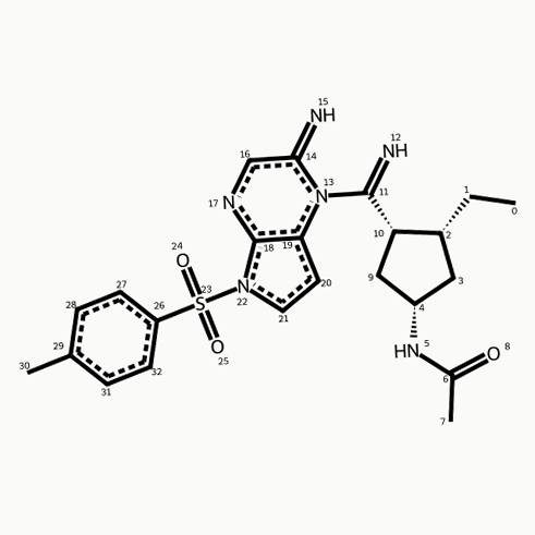 CC[C@@H]1C[C@H](NC(C)=O)C[C@@H]1C(=N)n1c(=N)cnc2c1ccn2S(=O)(=O)c1ccc(C)cc1